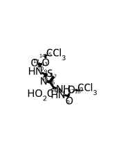 O=C(NNC(C(=O)O)c1csc(NC(=O)OCC(Cl)(Cl)Cl)n1)OCC(Cl)(Cl)Cl